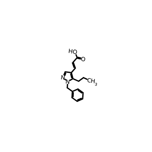 CCCc1c(C=CC(=O)O)cnn1Cc1ccccc1